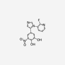 O=[N+]([O-])c1cc(-c2cncn2-c2cccnc2F)cc(O)c1O